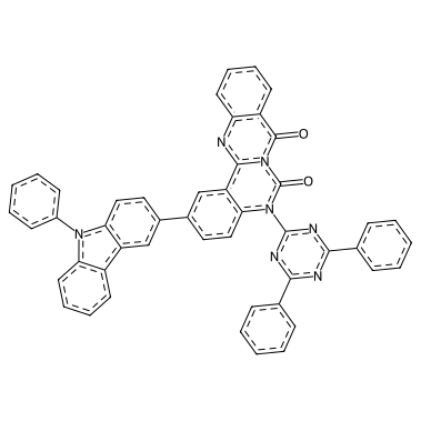 O=c1c2ccccc2nc2c3cc(-c4ccc5c(c4)c4ccccc4n5-c4ccccc4)ccc3n(-c3nc(-c4ccccc4)nc(-c4ccccc4)n3)c(=O)n12